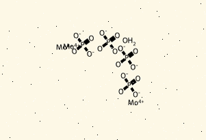 O.O=P([O-])([O-])[O-].O=P([O-])([O-])[O-].O=P([O-])([O-])[O-].O=P([O-])([O-])[O-].[Mo+4].[Mo+4].[Mo+4]